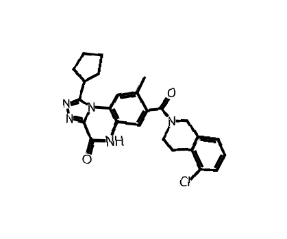 Cc1cc2c(cc1C(=O)N1CCc3c(Cl)cccc3C1)[nH]c(=O)c1nnc(C3CCCC3)n12